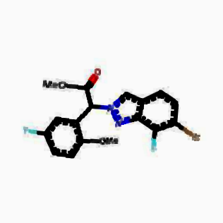 COC(=O)C(c1cc(F)ccc1OC)n1cc2ccc(Br)c(F)c2n1